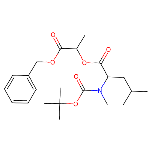 CC(C)CC(C(=O)OC(C)C(=O)OCc1ccccc1)N(C)C(=O)OC(C)(C)C